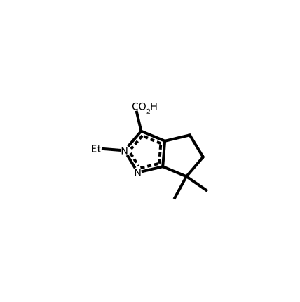 CCn1nc2c(c1C(=O)O)CCC2(C)C